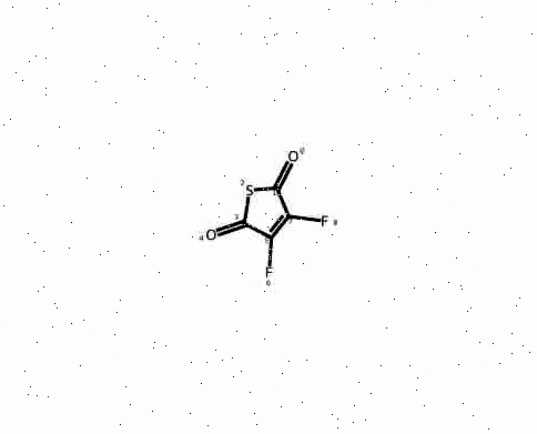 O=C1SC(=O)C(F)=C1F